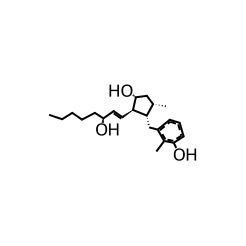 CCCCC[C@H](O)/C=C/[C@@H]1[C@@H](Cc2cccc(O)c2C)[C@@H](C)C[C@H]1O